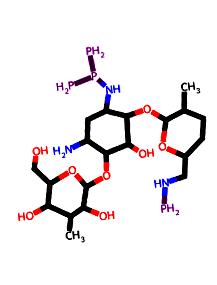 CC1CCC(CNP)OC1OC1C(NP(P)P)CC(N)C(OC2OC(CO)C(O)C(C)C2O)C1O